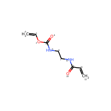 C=COC(=O)NCCNC(=O)C=C